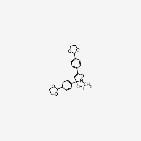 CN1OC(c2ccc(C3OCCO3)cc2)=CC1(C)C1=CCC(C2OCCO2)C=C1